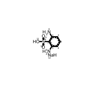 Nc1cccc(N)c1S(=O)(=O)O.[NaH]